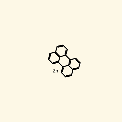 [Zn].c1cc2cccc3c4cccc5cccc(c(c1)c23)c54